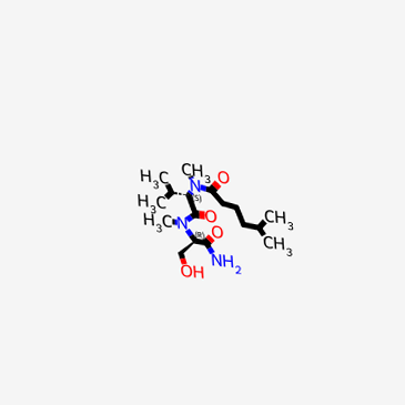 CC(C)CCCC(=O)N(C)[C@H](C(=O)N(C)[C@H](CO)C(N)=O)C(C)C